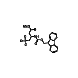 COC(=O)CC(CS(=O)(=O)Cl)NC(=O)OCC1c2ccccc2-c2ccccc21